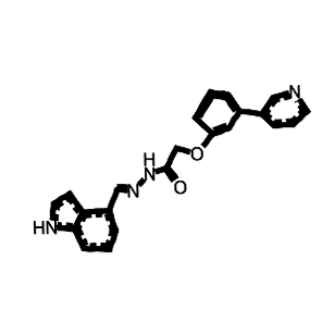 O=C(COC1=CC(c2cccnc2)=C=C=C1)N/N=C/c1cccc2[nH]ccc12